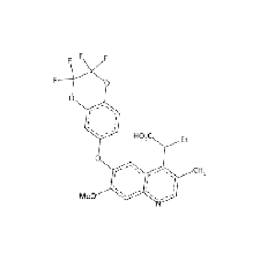 CCC(C(=O)O)c1c(C)cnc2cc(OC)c(Oc3ccc4c(c3)OC(F)(F)C(F)(F)O4)cc12